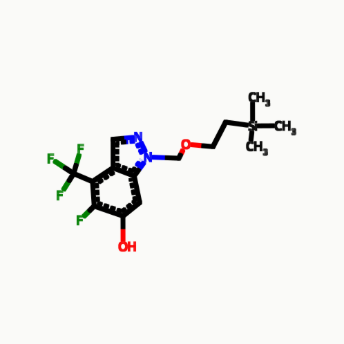 C[Si](C)(C)CCOCn1ncc2c(C(F)(F)F)c(F)c(O)cc21